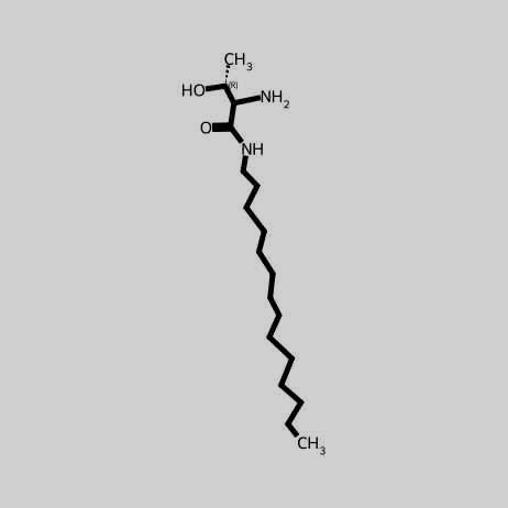 CCCCCCCCCCCCCCNC(=O)C(N)[C@@H](C)O